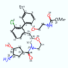 CCc1cccc(-c2c(Cl)cccc2[C@H](OCCNC(=O)OC)[C@H]2CN(C(=O)[C@H]3C[C@@H](N)[C@@H](O)C3)CCO2)c1